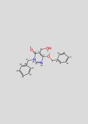 O=c1c(CO)c(OCc2ccccc2)ncn1Cc1ccccc1